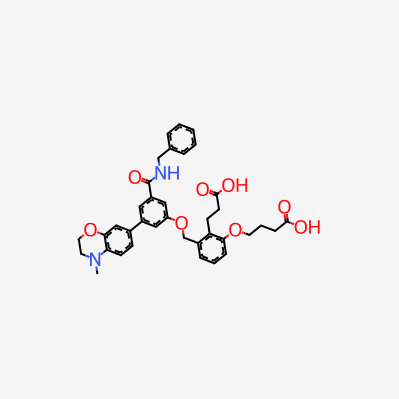 CN1CCOc2cc(-c3cc(OCc4cccc(OCCCC(=O)O)c4CCC(=O)O)cc(C(=O)NCc4ccccc4)c3)ccc21